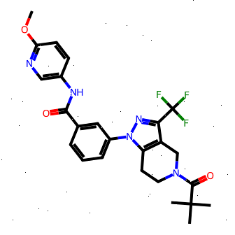 COc1ccc(NC(=O)c2cccc(-n3nc(C(F)(F)F)c4c3CCN(C(=O)C(C)(C)C)C4)c2)cn1